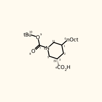 CCCCCCCCC1C[C@H](C(=O)O)CN(C(=O)OC(C)(C)C)C1